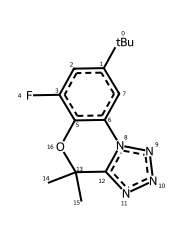 CC(C)(C)c1cc(F)c2c(c1)-n1nnnc1C(C)(C)O2